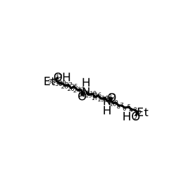 CCC(O)CCCCCCCCC(=O)NCCCCCCNC(=O)CCCCCCCCC(O)CC